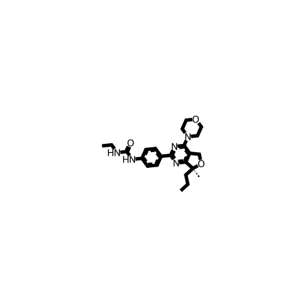 CCC[C@]1(C)OCc2c(N3CCOCC3)nc(-c3ccc(NC(=O)NCC)cc3)nc21